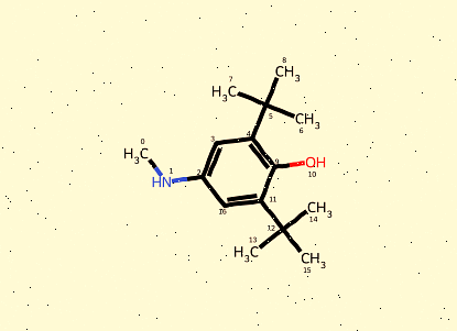 CNc1cc(C(C)(C)C)c(O)c(C(C)(C)C)c1